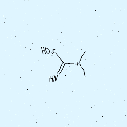 CN(C)C(=N)C(=O)O